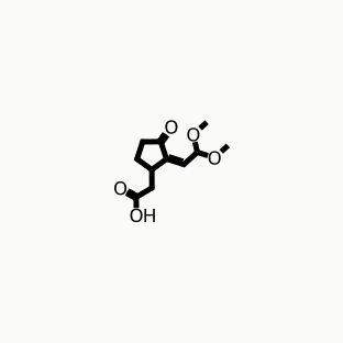 COC(C=C1C(=O)CCC1CC(=O)O)OC